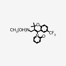 CN(O)CC1=C(n2ccccc2=O)c2cc(C(F)(F)F)ccc2OC1(C)C